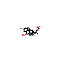 CC1C[C@@H](O)CC2[C@@H](O)C[C@@H]3[C@H](CC[C@]4(C)[C@@H]([C@H](C)CCC(=O)O)CC[C@@H]34)[C@@]12C